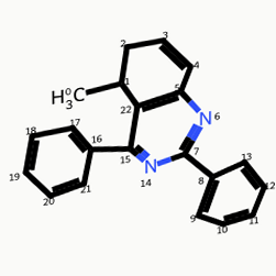 CC1CC=Cc2nc(-c3ccccc3)nc(-c3ccccc3)c21